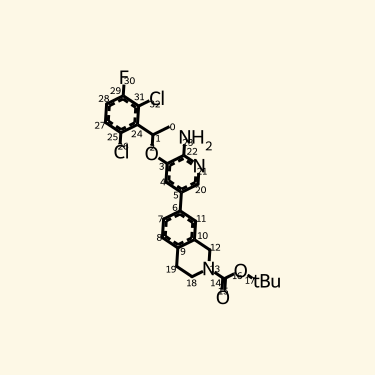 CC(Oc1cc(-c2ccc3c(c2)CN(C(=O)OC(C)(C)C)CC3)cnc1N)c1c(Cl)ccc(F)c1Cl